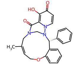 C/C1=C/COc2ccccc2[C@@H](c2ccccc2)N2CN(C1)C(=O)c1c(O)c(=O)ccn12